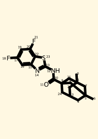 CC12CC3CC(C)(C1)CC(C(=O)Nc1nc4cc(F)cc(F)c4s1)(C3)C2